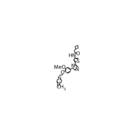 COc1cc(-c2cncc(-c3cc(NC(=O)CC4CCC4)cs3)n2)ccc1OCCN1CCN(C)CC1